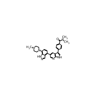 CN1CCN(c2ccc(-c3cnc4[nH]cc(-c5ccc(C(=O)N(C)C)cc5)c4c3)c3cn[nH]c23)CC1